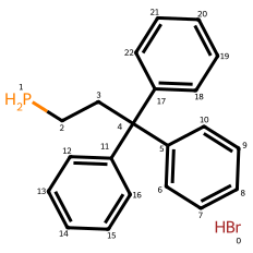 Br.PCCC(c1ccccc1)(c1ccccc1)c1ccccc1